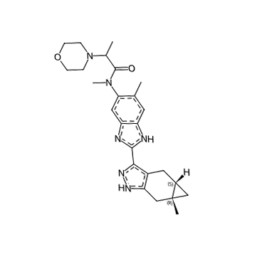 Cc1cc2[nH]c(-c3n[nH]c4c3C[C@@H]3C[C@]3(C)C4)nc2cc1N(C)C(=O)C(C)N1CCOCC1